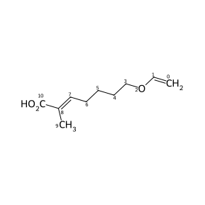 C=COCCCCC=C(C)C(=O)O